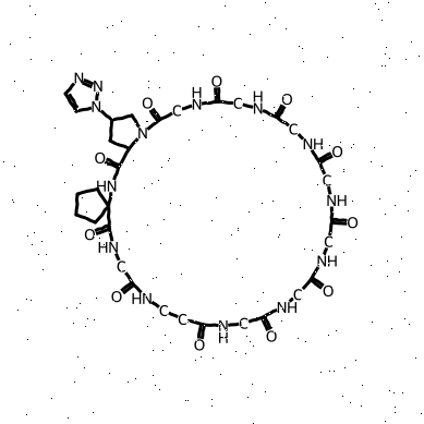 O=C1CCNC(=O)CNC(=O)C2(CCCC2)NC(=O)C2CC(n3ccnn3)CN2C(=O)CNC(=O)CNC(=O)CNC(=O)CNC(=O)CNC(=O)CNC(=O)CN1